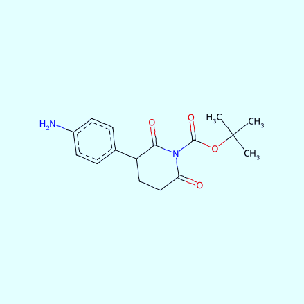 CC(C)(C)OC(=O)N1C(=O)CCC(c2ccc(N)cc2)C1=O